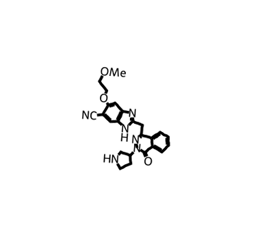 COCCOc1cc2nc(Cc3nn(C4CCNC4)c(=O)c4ccccc34)[nH]c2cc1C#N